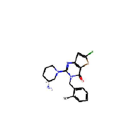 N#Cc1ccccc1Cn1c(N2CCC[C@@H](N)C2)nc2cc(F)sc2c1=O